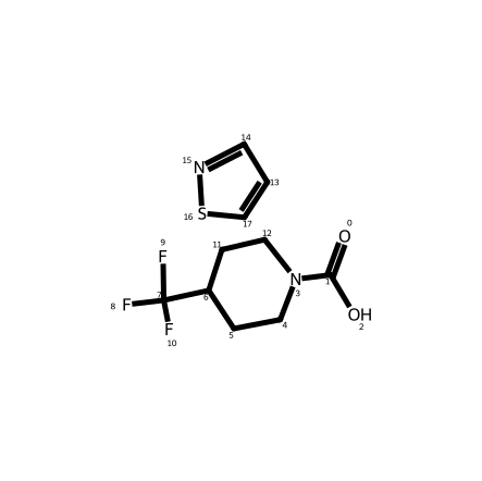 O=C(O)N1CCC(C(F)(F)F)CC1.c1cnsc1